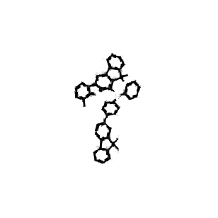 Cc1cccc2c1oc1c(N(c3ccccc3)c3ccc(-c4ccc5c(c4)C(C)(C)c4ccccc4-5)cc3)c3c(cc12)-c1ccccc1C3(C)C